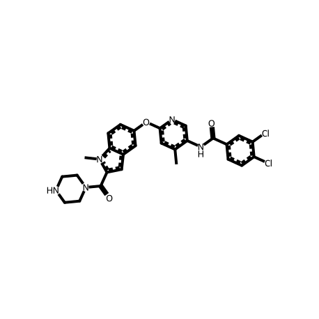 Cc1cc(Oc2ccc3c(c2)cc(C(=O)N2CCNCC2)n3C)ncc1NC(=O)c1ccc(Cl)c(Cl)c1